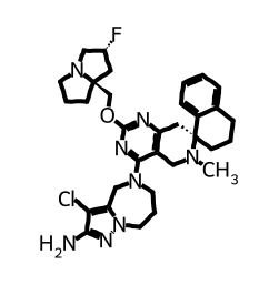 CN1Cc2c(nc(OC[C@@]34CCCN3C[C@H](F)C4)nc2N2CCCn3nc(N)c(Cl)c3C2)C[C@]12CCCc1ccccc12